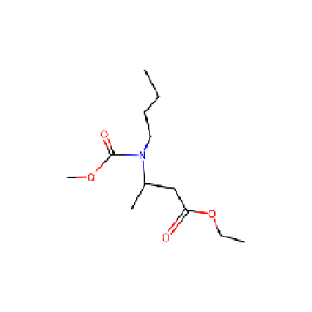 CCCCN(C(=O)OC)C(C)CC(=O)OCC